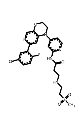 CS(=O)(=O)CCNCCC(=O)Nc1cc(N2CCOc3cnc(-c4cc(Cl)ccc4F)cc32)ccn1